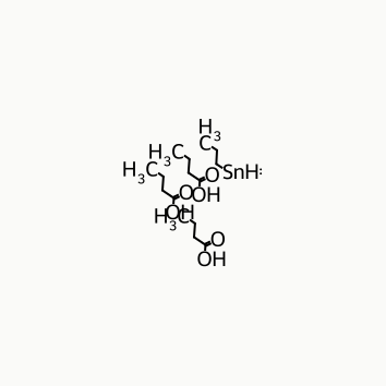 CCCC(=O)O.CCCC(=O)O.CCCC(=O)O.CC[CH2][SnH]